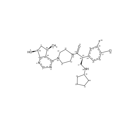 C[C@@H]1C[C@H](O)c2ncnc(N3CCN(C(=O)[C@H](CNC4CCCC4)c4ccc(Cl)c(F)c4)CC3)c21